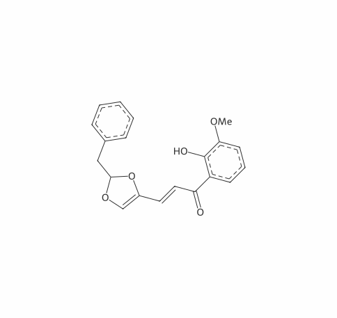 COc1cccc(C(=O)C=CC2=COC(Cc3ccccc3)O2)c1O